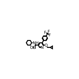 O=C(N[C@@H]1CCCC[C@H]1O)c1cnc(OCC2CC2)c(-c2ccc(C(F)(F)F)cc2)c1